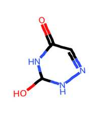 O=C1C=NNC(O)N1